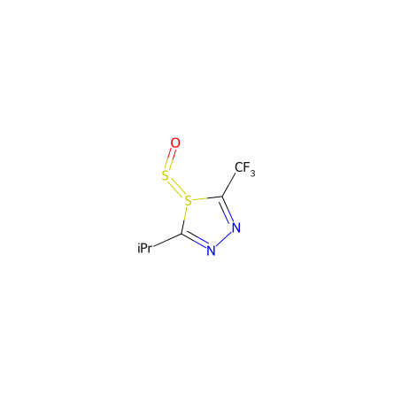 CC(C)C1=NN=C(C(F)(F)F)S1=S=O